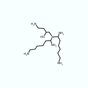 NCCCCCC(N)N(CC(O)CCN)C(N)CCCCCN